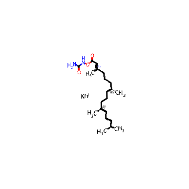 C/C(=C\C(=O)ONC(N)=O)CCC[C@H](C)CCC[C@H](C)CCCC(C)C.[KH]